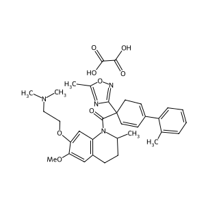 COc1cc2c(cc1OCCN(C)C)N(C(=O)C1(c3noc(C)n3)C=CC(c3ccccc3C)=CC1)C(C)CC2.O=C(O)C(=O)O